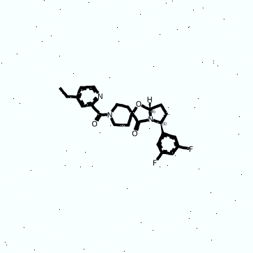 CCc1ccnc(C(=O)N2CCC3(CC2)O[C@@H]2CC[C@@H](c4cc(F)cc(F)c4)N2C3=O)c1